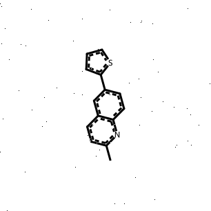 Cc1ccc2cc(-c3cccs3)ccc2n1